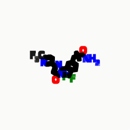 CC(C)(Cc1ccc(C(F)F)c(-c2nc(-c3ccc(C(F)(F)F)nc3)cc(=O)[nH]2)c1)C(N)=O